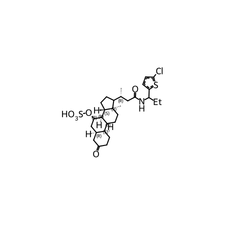 CCC(NC(=O)C[C@@H](C)C1CC[C@H]2[C@@H]3[C@H](OS(=O)(=O)O)C[C@@H]4CC(=O)CC[C@]4(C)[C@H]3CC[C@]12C)c1ccc(Cl)s1